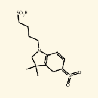 CC1(C)CN(CCCCS(=O)(=O)O)C2=C1CC(=S(=O)=O)C=C2